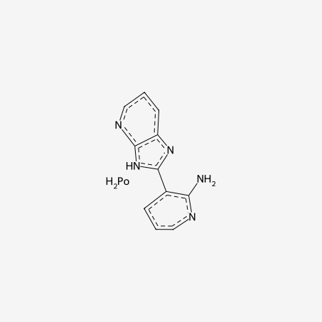 Nc1ncccc1-c1nc2cccnc2[nH]1.[PoH2]